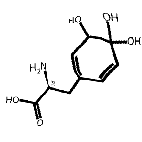 N[C@@H](CC1=CC(O)C(O)(O)C=C1)C(=O)O